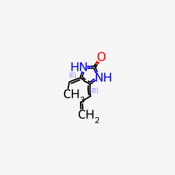 C=C/C=c1/[nH]c(=O)[nH]/c1=C/C